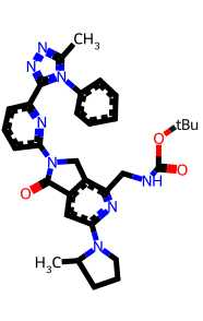 Cc1nnc(-c2cccc(N3Cc4c(cc(N5CCCC5C)nc4CNC(=O)OC(C)(C)C)C3=O)n2)n1-c1ccccc1